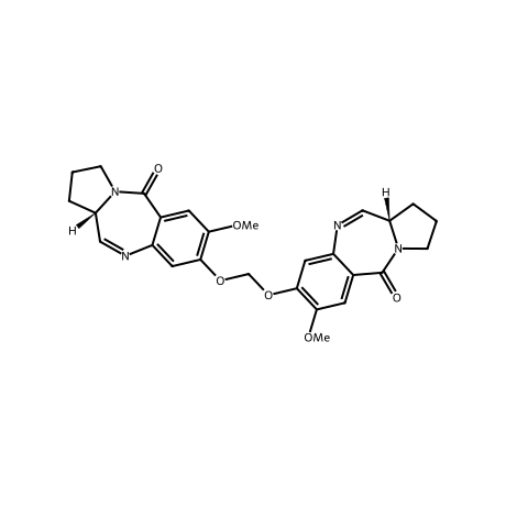 COc1cc2c(cc1OCOc1cc3c(cc1OC)C(=O)N1CCC[C@H]1C=N3)N=C[C@@H]1CCCN1C2=O